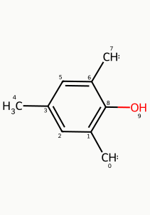 [CH]c1cc(C)cc([CH])c1O